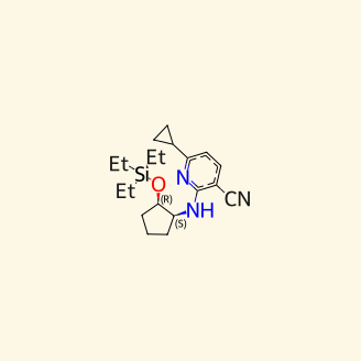 CC[Si](CC)(CC)O[C@@H]1CCC[C@@H]1Nc1nc(C2CC2)ccc1C#N